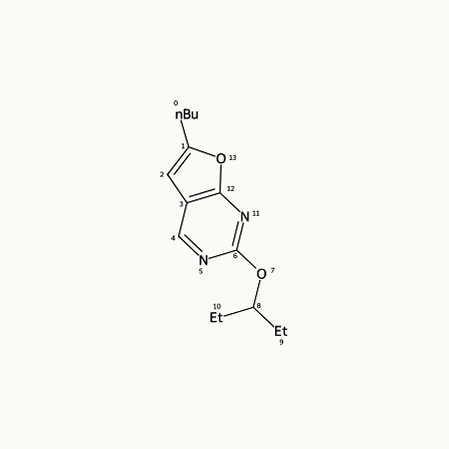 CCCCc1cc2cnc(OC(CC)CC)nc2o1